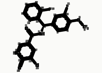 O=C(N[C@@H](c1ccc(OC(F)(F)F)c(F)c1)c1ncccc1F)c1c[nH]c(=O)c(Cl)c1